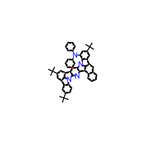 CC(C)(C)c1ccc2c(c1)c1cc(C(C)(C)C)cc3c4cc5c(nc4n2c13)c1c2ccccc2cc2c3cc(C(C)(C)C)cc(N(c4ccccc4)c4ccccc4)c3n5c21